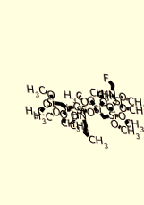 CCCN[Si](OC)(O[Si](C[Si](OC)(OC)OC)(OC)OC)O[Si](C[Si](OC)(OC)O[Si](NCF)(OC)OC)(OC)OC